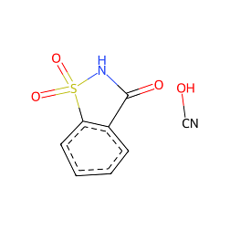 N#CO.O=C1NS(=O)(=O)c2ccccc21